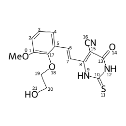 COc1cccc(C=Cc2[nH]c(=S)[nH]c(=O)c2C#N)c1OCCO